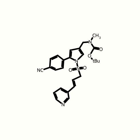 CN(Cc1cc(-c2ccc(C#N)cc2)n(S(=O)(=O)CC=Cc2cccnc2)c1)C(=O)OC(C)(C)C